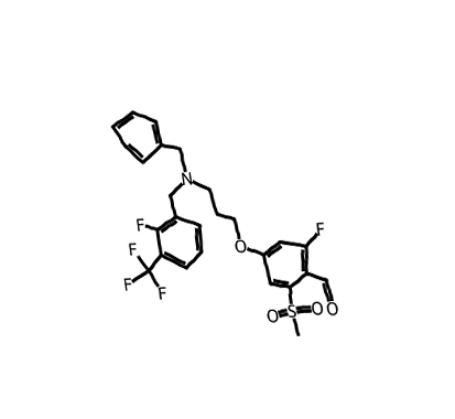 CS(=O)(=O)c1cc(OCCCN(Cc2ccccc2)Cc2cccc(C(F)(F)F)c2F)cc(F)c1C=O